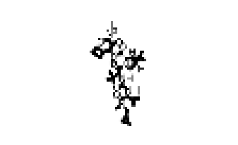 C=C(C)[C@H](NC(=O)N[C@H](C(=O)N1C[C@H]2[C@@H]([C@H]1C(=O)NC(C(=O)C(N)=O)C1CCC1)C2(C)C)C(C)(C)C)C(=O)N(C)CC1CC1